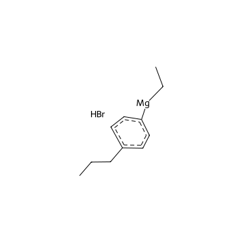 Br.CCCc1cc[c]([Mg][CH2]C)cc1